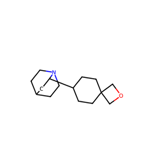 C1CN2CCC1CC2C1CCC2(CC1)COC2